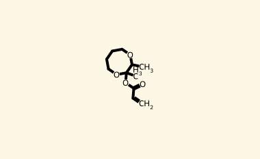 C=CC(=O)OC1(C)OCCCCOC1C